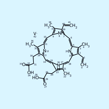 C=CC1=C(C)c2cc3[nH]c(cc4nc(cc5[nH]c(cc1n2)c(C)c5CCC(=O)O)C(CCC(=O)O)=C4C)c(C)c3C=C.[V]